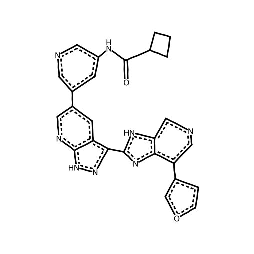 O=C(Nc1cncc(-c2cnc3[nH]nc(-c4nc5c(-c6ccoc6)cncc5[nH]4)c3c2)c1)C1CCC1